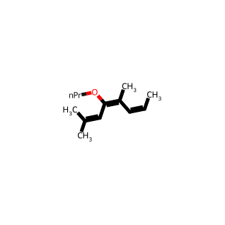 C/C=C\C(C)=C(/C=C(C)C)OCCC